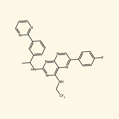 CC(Nc1nc(NCC(F)(F)F)c2nc(-c3ccc(F)cc3)cnc2n1)c1cccc(-c2ncccn2)c1